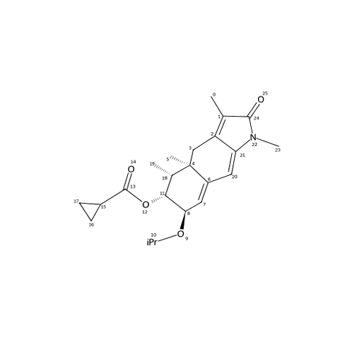 CC1=C2C[C@@]3(C)C(=C[C@@H](OC(C)C)[C@H](OC(=O)C4CC4)[C@@H]3C)C=C2N(C)C1=O